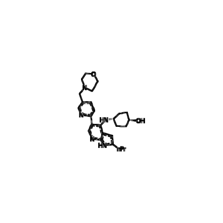 CCCc1cc2c(N[C@H]3CC[C@H](O)CC3)c(-c3ccc(CN4CCOCC4)cn3)cnc2[nH]1